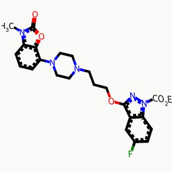 CCOC(=O)n1nc(OCCCN2CCN(c3cccc4c3oc(=O)n4C)CC2)c2cc(F)ccc21